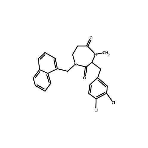 CN1C(=O)CCN(Cc2cccc3ccccc23)C(=O)C1Cc1ccc(Cl)c(Cl)c1